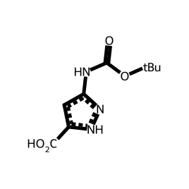 CC(C)(C)OC(=O)Nc1cc(C(=O)O)[nH]n1